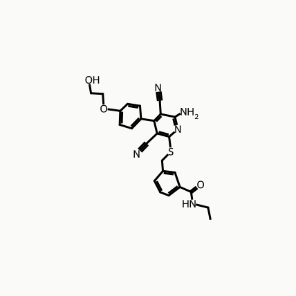 CCNC(=O)c1cccc(CSc2nc(N)c(C#N)c(-c3ccc(OCCO)cc3)c2C#N)c1